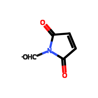 O=[C]N1C(=O)C=CC1=O